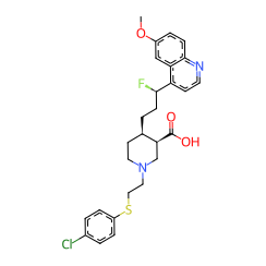 COc1ccc2nccc([C@H](F)CC[C@@H]3CCN(CCSc4ccc(Cl)cc4)C[C@@H]3C(=O)O)c2c1